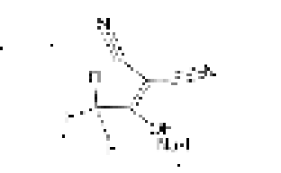 N#CC(C#N)=C(O)C(F)(F)Cl.[NaH]